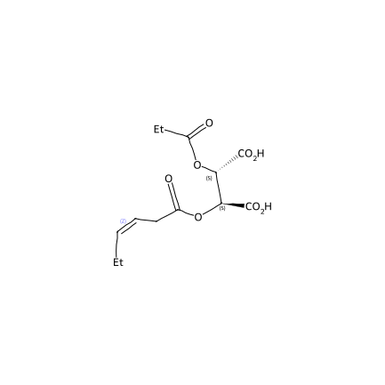 CC/C=C\CC(=O)O[C@H](C(=O)O)[C@H](OC(=O)CC)C(=O)O